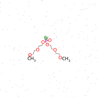 COCCOCCOP(=O)(Br)OCCOCCOC